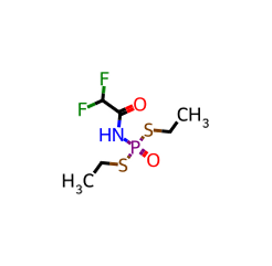 CCSP(=O)(NC(=O)C(F)F)SCC